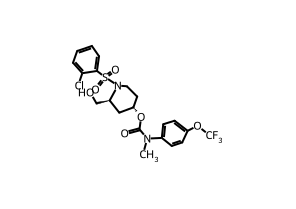 CN(C(=O)O[C@H]1CCN(S(=O)(=O)c2ccccc2Cl)[C@H](CO)C1)c1ccc(OC(F)(F)F)cc1